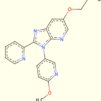 CCCOc1cnc2c(c1)nc(-c1ccccn1)n2-c1ccc(OC)nc1